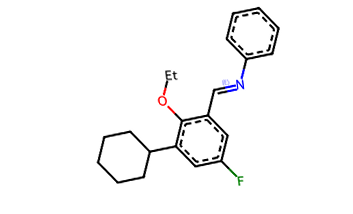 CCOc1c(/C=N/c2ccccc2)cc(F)cc1C1CCCCC1